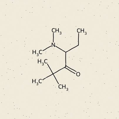 CCC(C(=O)C(C)(C)C)N(C)C